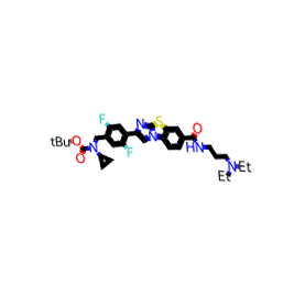 CCN(CC)CCCNC(=O)c1ccc2c(c1)sc1nc(-c3cc(F)c(CN(C(=O)OC(C)(C)C)C4CC4)cc3F)cn12